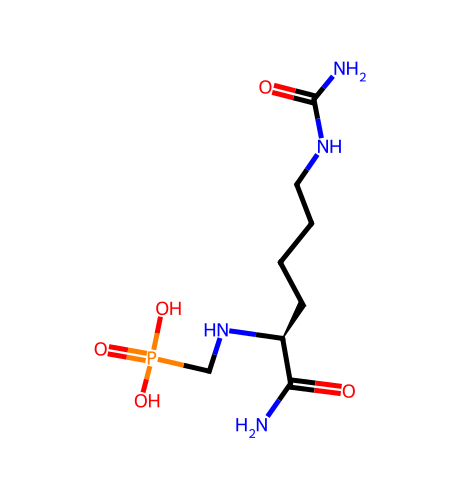 NC(=O)NCCCC[C@H](NCP(=O)(O)O)C(N)=O